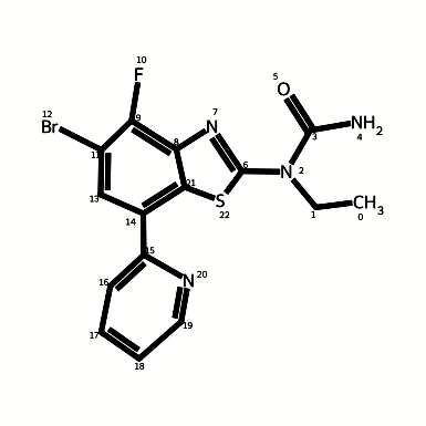 CCN(C(N)=O)c1nc2c(F)c(Br)cc(-c3ccccn3)c2s1